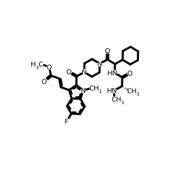 CN[C@@H](C)C(=O)NC(C(=O)N1CCN(C(=O)c2c(/C=C/C(=O)OC)c3cc(F)ccc3n2C)CC1)C1CCCCC1